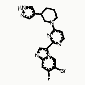 Fc1cc2ncc(-c3nccc(N4CCCC(c5cn[nH]c5)C4)n3)n2cc1Br